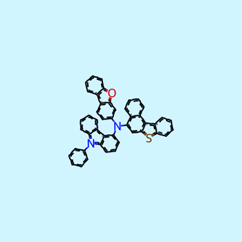 c1ccc(-n2c3ccccc3c3c(N(c4ccc5c(c4)oc4ccccc45)c4cc5sc6ccccc6c5c5ccccc45)cccc32)cc1